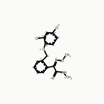 CNC(=O)/C(=N\OC)c1ccccc1COc1ccc(Cl)cc1Cl